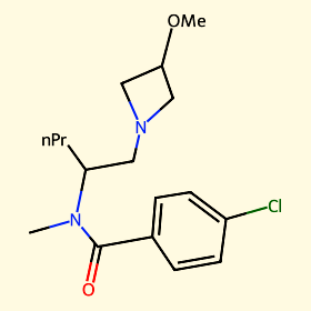 CCCC(CN1CC(OC)C1)N(C)C(=O)c1ccc(Cl)cc1